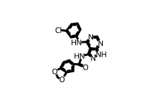 O=C(Nc1n[nH]c2ncnc(Nc3cccc(Cl)c3)c12)c1ccc2c(c1)OCO2